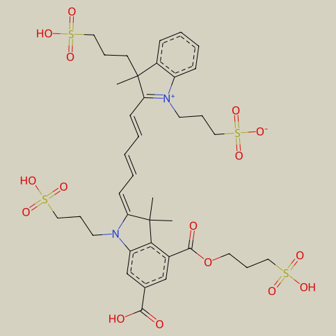 CC1(CCCS(=O)(=O)O)C(/C=C/C=C/C=C2/N(CCCS(=O)(=O)O)c3cc(C(=O)O)cc(C(=O)OCCCS(=O)(=O)O)c3C2(C)C)=[N+](CCCS(=O)(=O)[O-])c2ccccc21